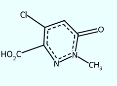 Cn1nc(C(=O)O)c(Cl)cc1=O